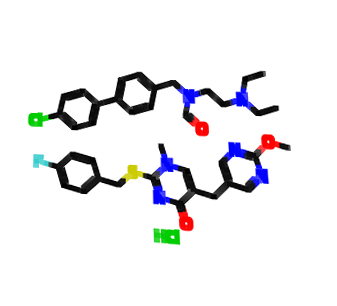 CCN(CC)CCN(C=O)Cc1ccc(-c2ccc(Cl)cc2)cc1.COc1ncc(Cc2cn(C)c(SCc3ccc(F)cc3)nc2=O)cn1.Cl